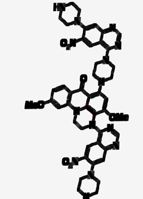 COc1ccc(C(=O)c2ccc(OC)cc2N2CCN(c3ncnc4cc(N5CCNCC5)c([N+](=O)[O-])cc34)CC2)c(N2CCN(c3ncnc4cc(N5CCNCC5)c([N+](=O)[O-])cc34)CC2)c1